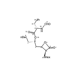 CCCCCCCCCCC[C@@H](CC1OC(=O)[C@H]1CCCCCC)OC(=O)[C@H](CC(C)C)NC=O